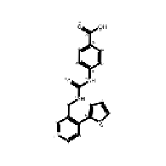 O=C(NCc1cnccc1-c1cccs1)Nc1ccc(C(=O)O)cc1